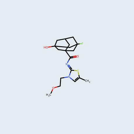 COCCn1cc(C)sc1=NC(=O)C12CC3CC(O)(CC(F)(C3)C1)C2